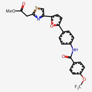 COC(=O)Cc1nc(-c2ccc(-c3ccc(NC(=O)c4ccc(OC(F)(F)F)cc4)cc3)o2)cs1